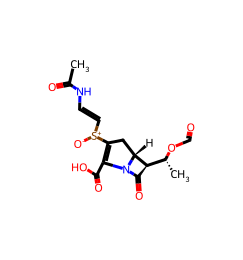 CC(=O)N/C=C/[S+]([O-])C1=C(C(=O)O)N2C(=O)[C@H]([C@@H](C)OC=O)[C@H]2C1